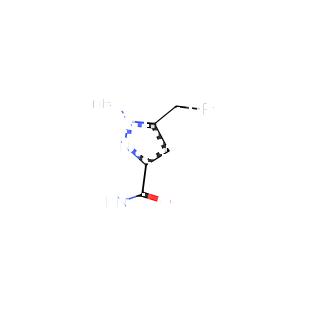 CCCCn1nc(C(N)=O)cc1CC(C)C